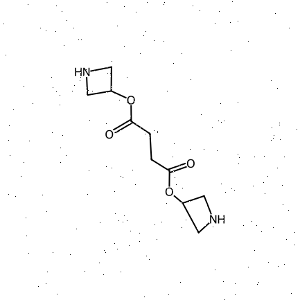 O=C(CCC(=O)OC1CNC1)OC1CNC1